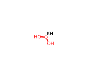 OOO.[KH]